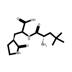 CC(C)(C)C[C@H](N)C(=O)NC(C[C@@H]1CCNC1=O)C(=O)O